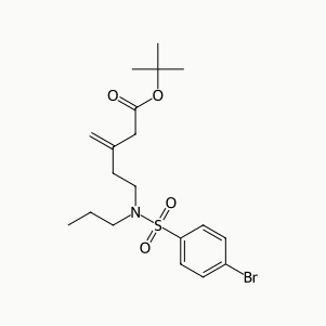 C=C(CCN(CCC)S(=O)(=O)c1ccc(Br)cc1)CC(=O)OC(C)(C)C